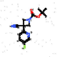 CC(C)(C)OC(=O)N1CC(C#N)(c2ccc(F)cn2)C1